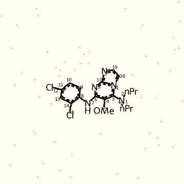 CCCN(CCC)c1c(OC)c(Nc2ccc(Cl)cc2Cl)nc2nccn12